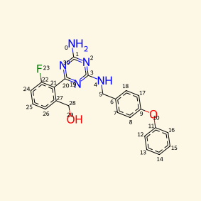 Nc1nc(NCc2ccc(Oc3ccccc3)cc2)nc(-c2c(F)cccc2CO)n1